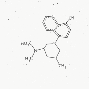 CC1CC(N(C)C(=O)O)CN(c2ccc(C#N)c3ncccc23)C1